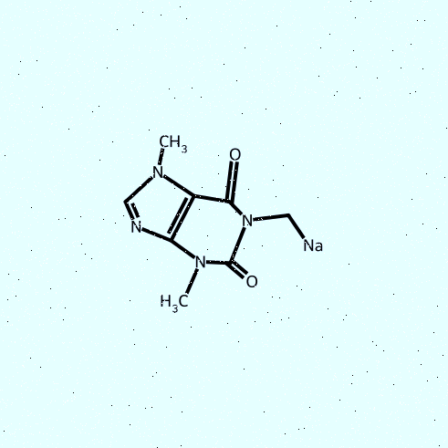 Cn1cnc2c1c(=O)n([CH2][Na])c(=O)n2C